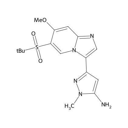 COc1cc2ncc(-c3cc(N)n(C)n3)n2cc1S(=O)(=O)C(C)(C)C